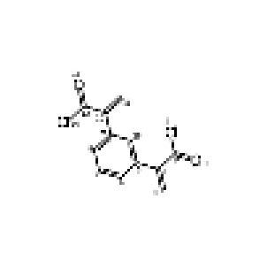 C=C(C(=O)Cl)c1cccc(C(=C)C(=O)Cl)c1